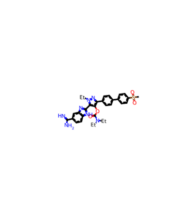 CCN(CC)C(=O)Oc1c(-c2ccc(-c3ccc(S(C)(=O)=O)cc3)cc2)nn(CC)c1-c1nc2cc(C(=N)N)ccc2[nH]1